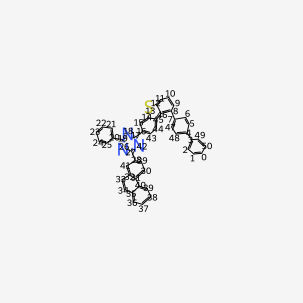 c1ccc(-c2ccc(-c3cccc4sc5cc(-c6nc(-c7ccccc7)nc(-c7ccc8c(ccc9ccccc98)c7)n6)ccc5c34)cc2)cc1